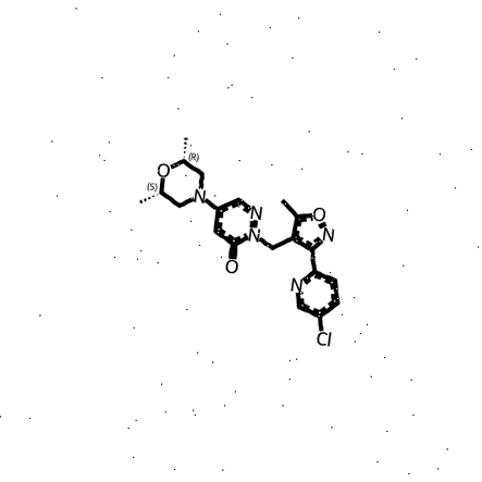 Cc1onc(-c2ccc(Cl)cn2)c1Cn1ncc(N2C[C@@H](C)O[C@@H](C)C2)cc1=O